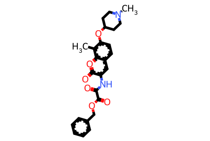 Cc1c(OC2CCN(C)CC2)ccc2cc(NC(=O)C(=O)OCc3ccccc3)c(=O)oc12